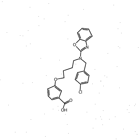 O=C(O)c1cccc(OCCCCN(Cc2ccc(Cl)cc2)c2nc3ccccc3o2)c1